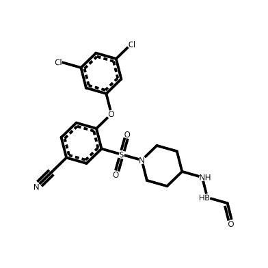 N#Cc1ccc(Oc2cc(Cl)cc(Cl)c2)c(S(=O)(=O)N2CCC(NBC=O)CC2)c1